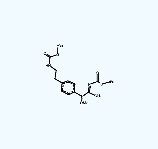 CON(C(N)=NC(=O)OC(C)(C)C)c1ccc(CCNC(=O)OC(C)(C)C)cc1